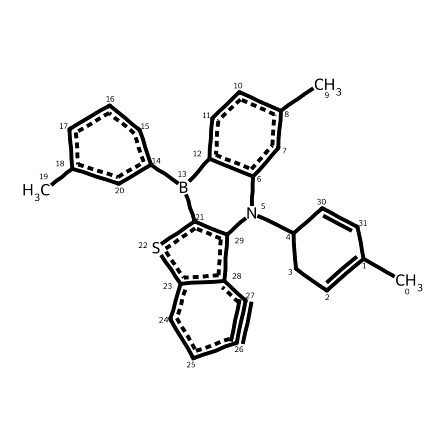 CC1=CCC(N2c3cc(C)ccc3B(c3cccc(C)c3)c3sc4ccc#cc4c32)C=C1